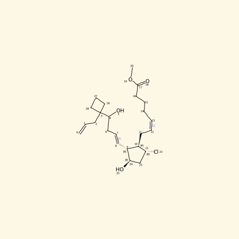 C=CCC1(C(O)C/C=C/[C@@H]2[C@@H](C/C=C\CCCC(=O)OC)[C@H](Cl)C[C@H]2O)CCC1